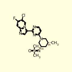 C[C@@H]1C[C@H](N=S(C)(C)=O)CN(c2ccnc(-c3cnc4cc(F)c(Cl)cn34)n2)C1